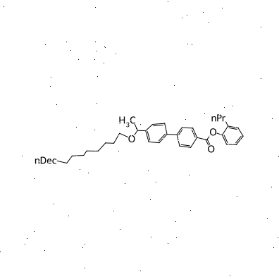 CCCCCCCCCCCCCCCCCCOC(C)c1ccc(-c2ccc(C(=O)Oc3ccccc3CCC)cc2)cc1